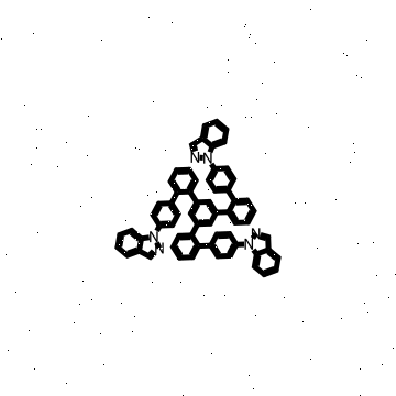 c1ccc(-c2cc(-c3ccccc3-c3ccc(-n4ncc5ccccc54)cc3)cc(-c3ccccc3-c3ccc(-n4ncc5ccccc54)cc3)c2)c(-c2ccc(-n3ncc4ccccc43)cc2)c1